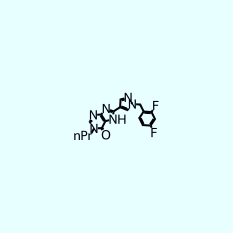 CCCn1cnc2nc(-c3cnn(Cc4ccc(F)cc4F)c3)[nH]c2c1=O